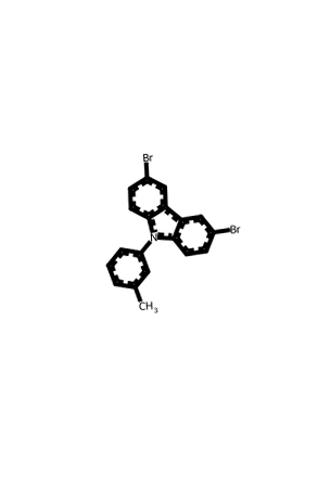 Cc1cccc(-n2c3ccc(Br)cc3c3cc(Br)ccc32)c1